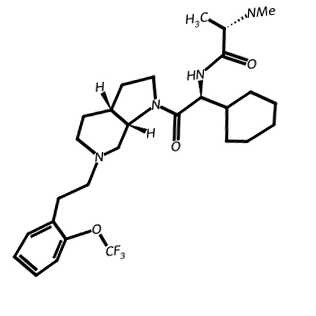 CN[C@@H](C)C(=O)N[C@H](C(=O)N1CC[C@H]2CCN(CCc3ccccc3OC(F)(F)F)C[C@H]21)C1CCCCC1